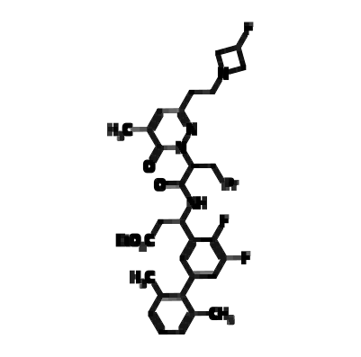 CCOC(=O)CC(NC(=O)C(CC(C)C)n1nc(CCN2CC(F)C2)cc(C)c1=O)c1cc(-c2c(C)cccc2C)cc(F)c1F